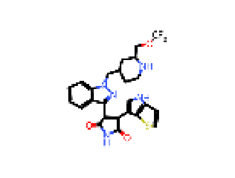 O=C1NC(=O)C(c2c[nH]c3ccsc23)=C1c1nn(CC2CCNC(COC(F)(F)F)C2)c2ccccc12